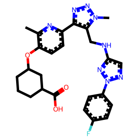 Cc1nc(-c2nnn(C)c2CNc2cnn(-c3ccc(F)cc3)n2)ccc1OC1CCCC(C(=O)O)C1